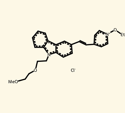 CCO[n+]1ccc(C=Cc2ccc3c(c2)c2ccccc2n3CCOCCOC)cc1.[Cl-]